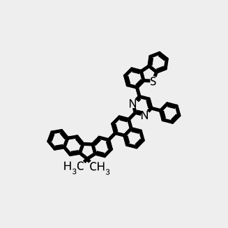 CC1(C)c2ccc(-c3ccc(-c4nc(-c5ccccc5)cc(-c5cccc6c5sc5ccccc56)n4)c4ccccc34)cc2-c2cc3ccccc3cc21